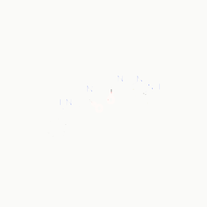 NC(Cc1ccccc1)C(=O)N1CCCC1C(=O)Nc1n[nH]c(=S)s1